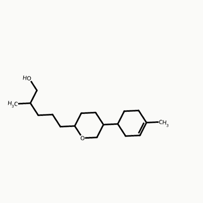 CC1=CCC(C2CCC(CCCC(C)CO)OC2)CC1